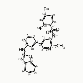 Cc1ncc(-c2ccnc(Nc3nc4ccccc4o3)c2)cc1NS(=O)(=O)c1ccc(F)cc1F